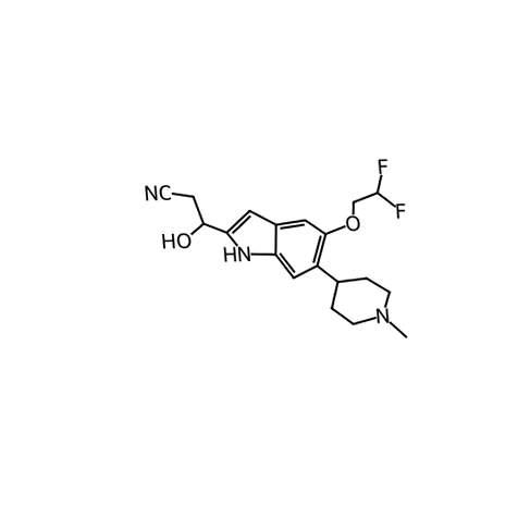 CN1CCC(c2cc3[nH]c(C(O)CC#N)cc3cc2OCC(F)F)CC1